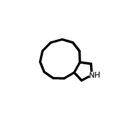 C1CCCCC2CNCC2CCCC1